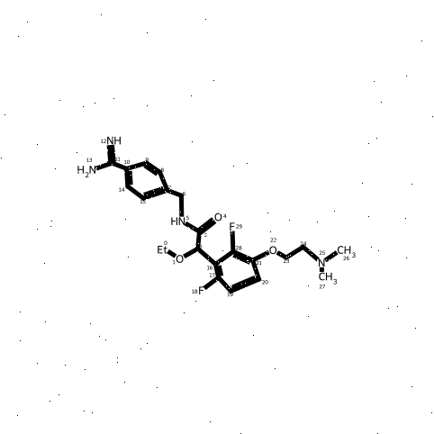 CCOC(C(=O)NCc1ccc(C(=N)N)cc1)c1c(F)ccc(OCCN(C)C)c1F